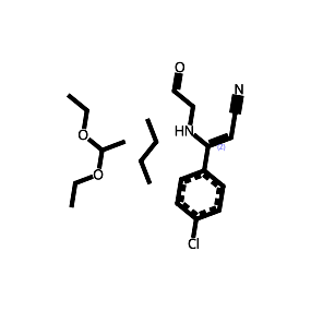 CCCC.CCOC(C)OCC.N#C/C=C(\NCC=O)c1ccc(Cl)cc1